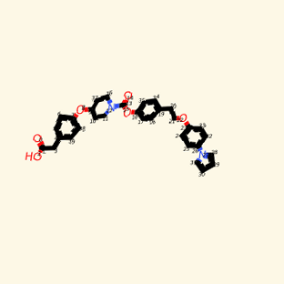 O=C(O)Cc1ccc(OC2CCN(C(=O)Oc3ccc(CCOc4ccc(-n5cccc5)cc4)cc3)CC2)cc1